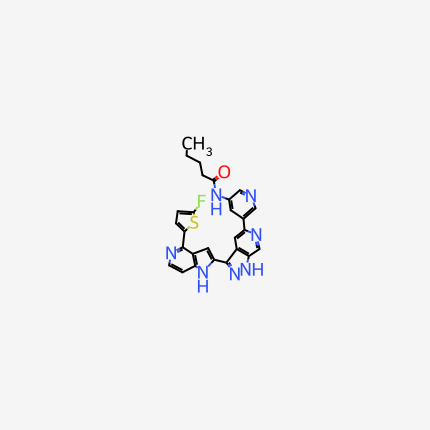 CCCCC(=O)Nc1cncc(-c2cc3c(-c4cc5c(-c6ccc(F)s6)nccc5[nH]4)n[nH]c3cn2)c1